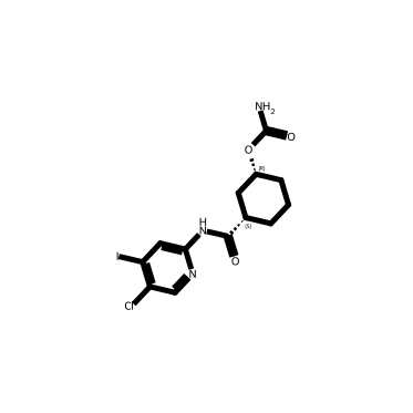 NC(=O)O[C@@H]1CCC[C@H](C(=O)Nc2cc(I)c(Cl)cn2)C1